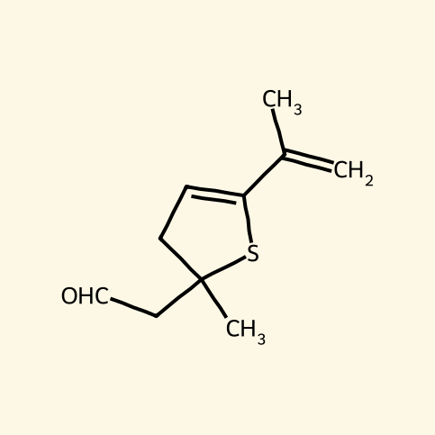 C=C(C)C1=CCC(C)(CC=O)S1